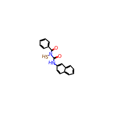 O=C(Nc1ccc2ccccc2c1)N(S)C(=O)c1ccccc1